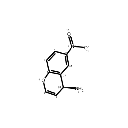 N[C@H]1C=COc2ccc([N+](=O)[O-])cc21